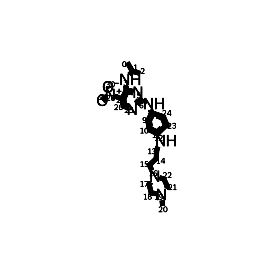 CC(C)Nc1nc(Nc2ccc(NCCCN3CCN(C)CC3)cc2)ncc1[N+](=O)[O-]